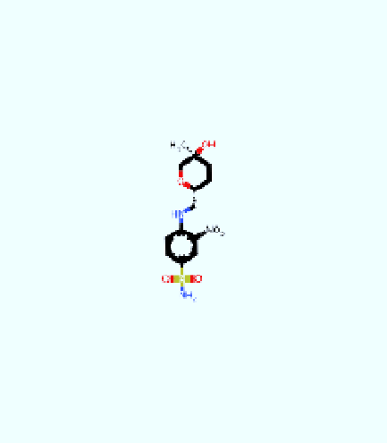 C[C@]1(O)CC[C@H](CNc2ccc(S(N)(=O)=O)cc2[N+](=O)[O-])OC1